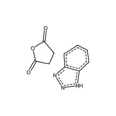 O=C1CCC(=O)O1.c1ccc2[nH]nnc2c1